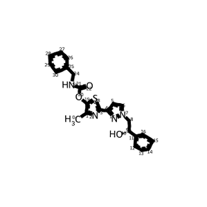 Cc1nc(-c2ccn(C[C@@H](O)c3ccccc3)n2)sc1OC(=O)NCc1ccccc1